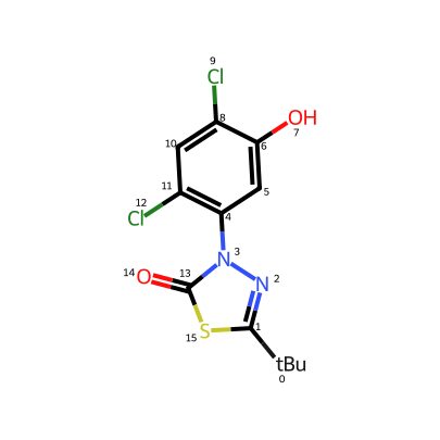 CC(C)(C)c1nn(-c2cc(O)c(Cl)cc2Cl)c(=O)s1